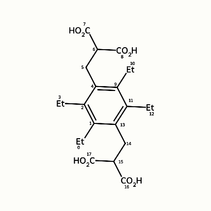 CCc1c(CC)c(CC(C(=O)O)C(=O)O)c(CC)c(CC)c1CC(C(=O)O)C(=O)O